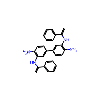 C=C(Nc1cc(-c2ccc(N)c(NC(=C)c3ccccc3)c2)ccc1N)c1ccccc1